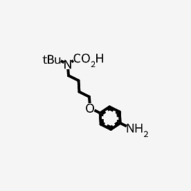 CC(C)(C)N(CCCCOc1ccc(N)cc1)C(=O)O